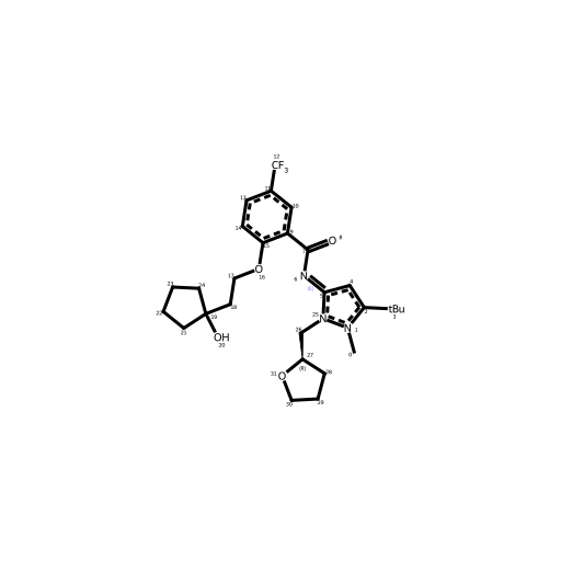 Cn1c(C(C)(C)C)c/c(=N\C(=O)c2cc(C(F)(F)F)ccc2OCCC2(O)CCCC2)n1C[C@H]1CCCO1